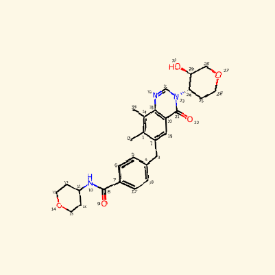 Cc1c(Cc2ccc(C(=O)NC3CCOCC3)cc2)cc2c(=O)n([C@H]3CCOC[C@@H]3O)cnc2c1C